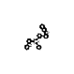 c1ccc(-c2nc(-c3cccc(-c4cccc5oc6cc7ccccc7cc6c45)c3)nc(-c3cccc4c3oc3ccccc34)n2)cc1